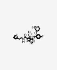 Cc1c(C(=O)NCCc2cccs2)sc2ncnc(Nc3ccc(F)cc3OC3CCCNC3)c12